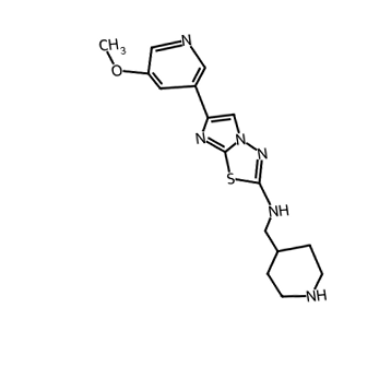 COc1cncc(-c2cn3nc(NCC4CCNCC4)sc3n2)c1